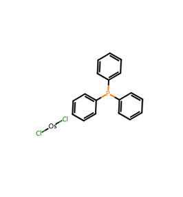 [Cl][Os][Cl].c1ccc(P(c2ccccc2)c2ccccc2)cc1